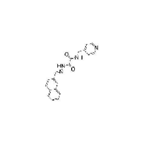 O=C(NCc1ccncc1)C(=O)NN=Cc1ccc2ccccc2c1